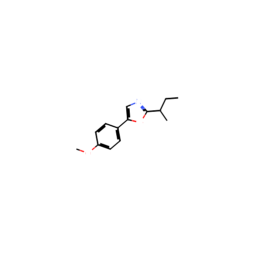 CCC(C)c1ncc(-c2ccc(OC)cc2)o1